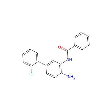 Nc1ccc(-c2ccccc2F)cc1NC(=O)c1ccccc1